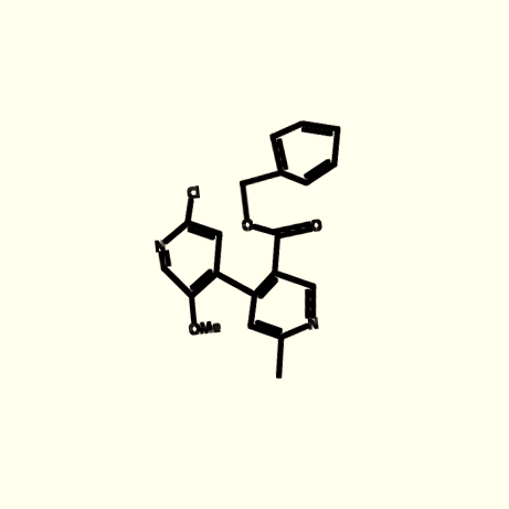 COc1cnc(Cl)cc1-c1cc(C)ncc1C(=O)OCc1ccccc1